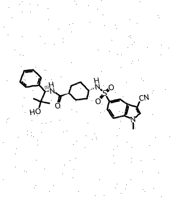 Cn1cc(C#N)c2cc(S(=O)(=O)N[C@H]3CC[C@H](C(=O)N[C@@H](c4ccccc4)C(C)(C)O)CC3)ccc21